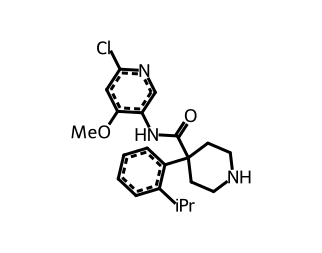 COc1cc(Cl)ncc1NC(=O)C1(c2ccccc2C(C)C)CCNCC1